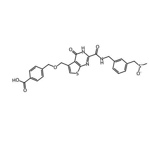 C[S+]([O-])Cc1cccc(CNC(=O)c2nc3scc(COCc4ccc(C(=O)O)cc4)c3c(=O)[nH]2)c1